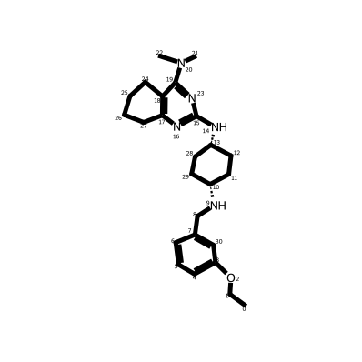 CCOc1cccc(CN[C@H]2CC[C@@H](Nc3nc4c(c(N(C)C)n3)CCCC4)CC2)c1